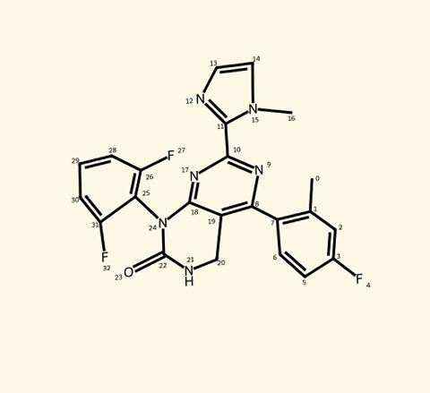 Cc1cc(F)ccc1-c1nc(-c2nccn2C)nc2c1CNC(=O)N2c1c(F)cccc1F